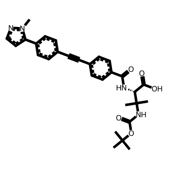 Cn1nccc1-c1ccc(C#Cc2ccc(C(=O)N[C@H](C(=O)O)C(C)(C)NC(=O)OC(C)(C)C)cc2)cc1